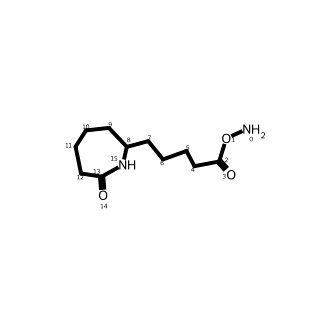 NOC(=O)CCCCC1CCCCC(=O)N1